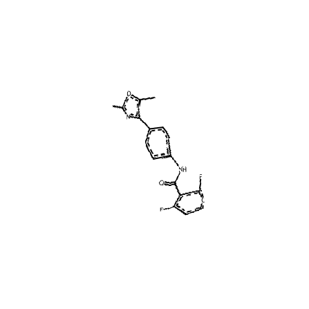 Cc1nc(-c2ccc(NC(=O)c3c(F)cccc3F)cc2)c(C)o1